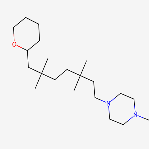 CN1CCN(CCC(C)(C)CCC(C)(C)CC2CCCCO2)CC1